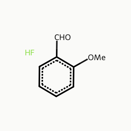 COc1ccccc1C=O.F